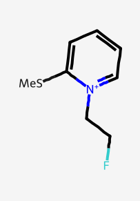 CSc1cccc[n+]1CCF